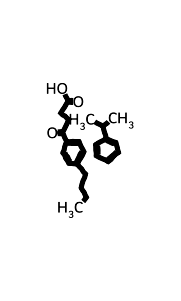 CC(C)c1ccccc1.CCCCc1ccc(C(=O)CCC(=O)O)cc1